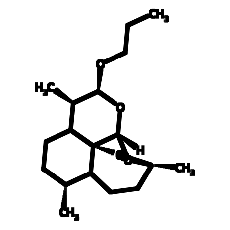 CCCO[C@H]1O[C@@H]2O[C@]3(C)CCC4[C@H](C)CCC([C@H]1C)[C@]42OO3